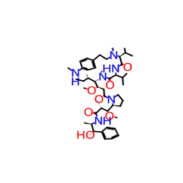 CC[C@H](C)[C@@H]([C@@H](CC(=O)N1CCC[C@H]1[C@H](OC)[C@@H](C)C(=O)N[C@H](C)[C@@H](O)c1ccccc1)OC)N(C)C(=O)[C@@H](NC(=O)[C@H](C(C)C)N(C)CCc1ccc(NC)cc1)C(C)C